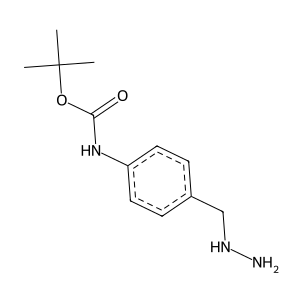 CC(C)(C)OC(=O)Nc1ccc(CNN)cc1